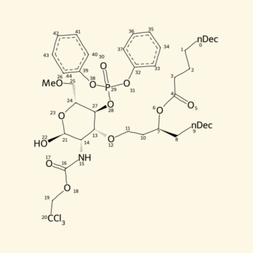 CCCCCCCCCCCCCC(=O)O[C@@H](CCCCCCCCCCC)CCO[C@@H]1[C@H](NC(=O)OCC(Cl)(Cl)Cl)[C@@H](O)O[C@H](COC)[C@H]1OP(=O)(Oc1ccccc1)Oc1ccccc1